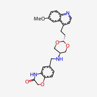 COc1ccc2nccc(CC[C@H]3OC[C@H](NCc4ccc5c(c4)NC(=O)CO5)CO3)c2c1